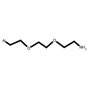 [N]CCOCCOCCN